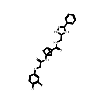 O=C(COc1ccc(Cl)c(F)c1)NC12CC(C1)C(C(=O)NCC1NOC(c3ccccc3)N1)C2